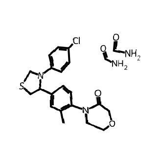 Cc1cc(C2CSCN2c2ccc(Cl)cc2)ccc1N1CCOCC1=O.NC=O.NC=O